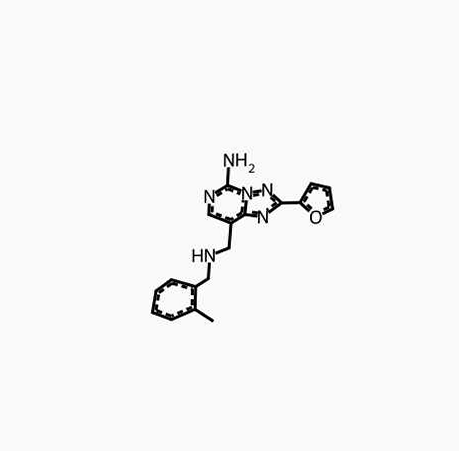 Cc1ccccc1CNCc1cnc(N)n2nc(-c3ccco3)nc12